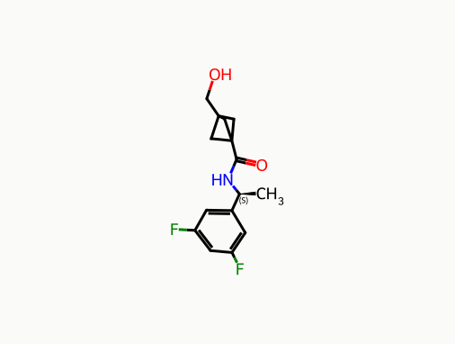 C[C@H](NC(=O)C12CC(CO)(C1)C2)c1cc(F)cc(F)c1